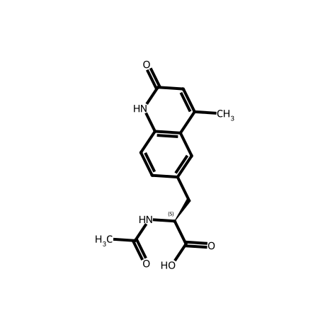 CC(=O)N[C@@H](Cc1ccc2[nH]c(=O)cc(C)c2c1)C(=O)O